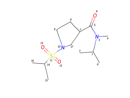 CC(C)N(C)C(=O)C1CCN(S(=O)(=O)C(C)C)C1